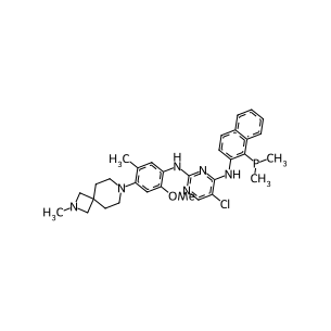 COc1cc(N2CCC3(CC2)CN(C)C3)c(C)cc1Nc1ncc(Cl)c(Nc2ccc3ccccc3c2P(C)C)n1